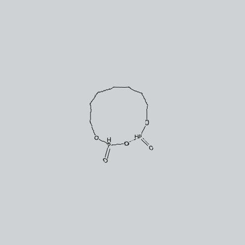 O=[PH]1OCCCCCCCO[PH](=O)O1